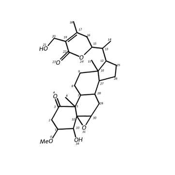 COC1CC(=O)C2(C)C3CCC4(C)C(C(C)C5CC(C)=C(CO)C(=O)O5)CCC4C3CC3OC32C1O